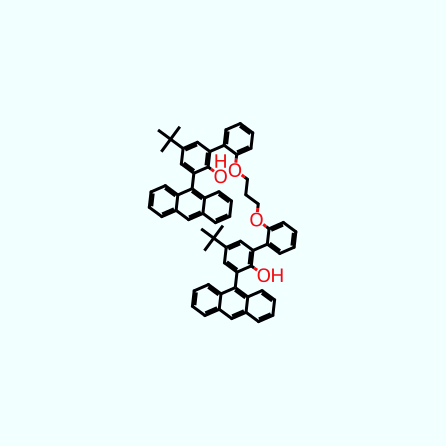 CC(C)(C)c1cc(-c2ccccc2OCCCOc2ccccc2-c2cc(C(C)(C)C)cc(-c3c4ccccc4cc4ccccc34)c2O)c(O)c(-c2c3ccccc3cc3ccccc23)c1